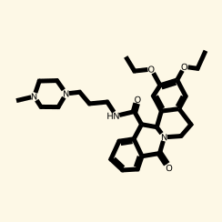 CCOc1cc2c(cc1OCC)C1C(C(=O)NCCCN3CCN(C)CC3)c3ccccc3C(=O)N1CC2